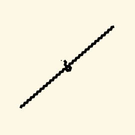 [CH2]CCc1c(CCCCCCCCCCCCCCCCCCCCCCCCCCCC)cccc1CCCCCCCCCCCCCCCCCCCCCCCCCCCC